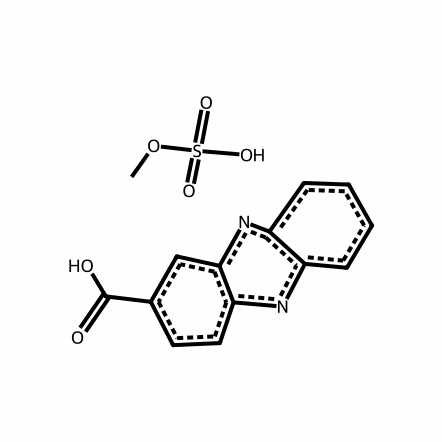 COS(=O)(=O)O.O=C(O)c1ccc2nc3ccccc3nc2c1